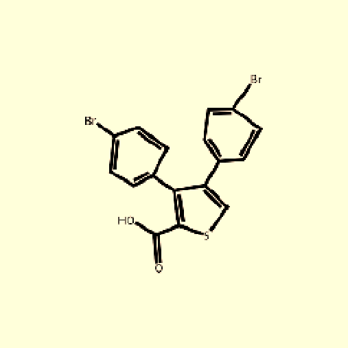 O=C(O)c1scc(-c2ccc(Br)cc2)c1-c1ccc(Br)cc1